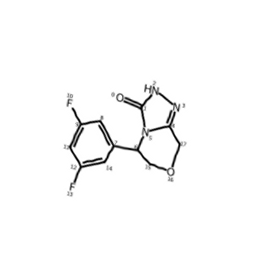 O=c1[nH]nc2n1C(c1cc(F)cc(F)c1)COC2